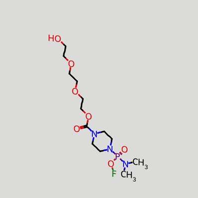 CN(C)P(=O)(OF)N1CCN(C(=O)OCCOCCOCCO)CC1